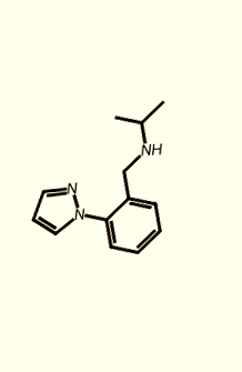 CC(C)NCc1ccccc1-n1cccn1